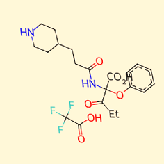 CCC(=O)C(NC(=O)CCC1CCNCC1)(Oc1ccccc1)C(=O)O.O=C(O)C(F)(F)F